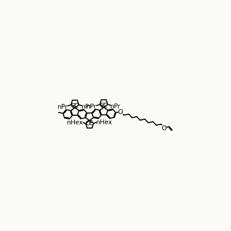 C=COCCCCCCCCCCOc1ccc2c(c1)C1(c3cc4c(cc3-2)C2(c3cc5c(cc3-4)C3(c4cc(C)ccc4-5)C4(CCC)CCC3(CCC)CC4)C3(CCCCCC)CCC2(CCCCCC)CC3)C2(CCC)CCC1(CCC)CC2